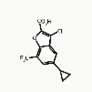 O=C(O)c1oc2c(C(F)(F)F)cc(C3CC3)cc2c1Cl